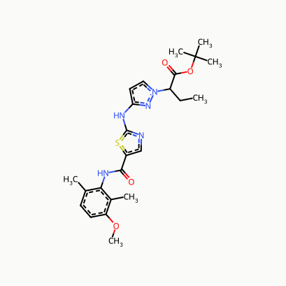 CCC(C(=O)OC(C)(C)C)n1ccc(Nc2ncc(C(=O)Nc3c(C)ccc(OC)c3C)s2)n1